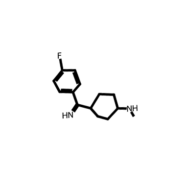 CNC1CCC(C(=N)c2ccc(F)cc2)CC1